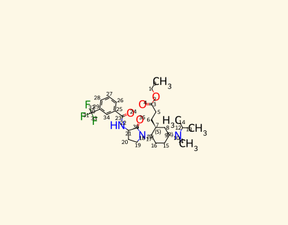 CCOC(=O)CC[C@H]1C[C@H](N(C)C(C)C)CC[C@@H]1N1CCC(NC(=O)c2cccc(C(F)(F)F)c2)C1=O